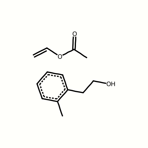 C=COC(C)=O.Cc1ccccc1CCO